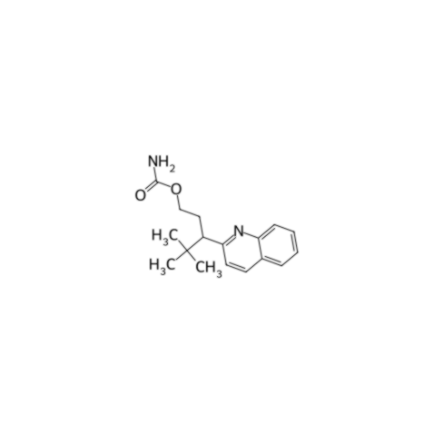 CC(C)(C)C(CCOC(N)=O)c1ccc2ccccc2n1